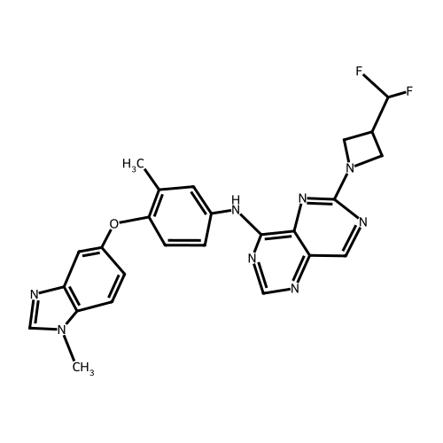 Cc1cc(Nc2ncnc3cnc(N4CC(C(F)F)C4)nc23)ccc1Oc1ccc2c(c1)ncn2C